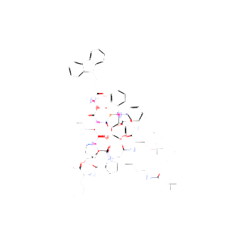 CC[C@H](C)[C@H](NC(=O)[C@@H]1CCCN1C(=O)[C@@H]1CCCN1C(=O)[C@@H](NC(=O)[C@H](COC(C)(C)C)NC(=O)[C@H](C)NC(=O)[C@@H](NC(=O)[C@H](CCCCNC(=O)OC(C)(C)C)NC(=O)[C@@H](NC(=O)CNC(=O)[C@H](CSC(c1ccccc1)(c1ccccc1)c1ccccc1)NC(=O)OCC1c2ccccc2-c2ccccc21)[C@@H](C)CC)[C@@H](C)OC(C)(C)C)[C@@H](C)CC)C(=O)O